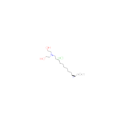 CCCCCCCC/C=C\CCCCCCCCCN(CCO)CCO.Cl